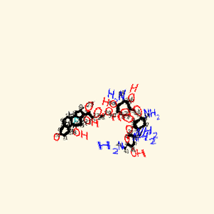 C[C@@H]1C[C@H]2[C@@H]3CCC4=CC(=O)C=C[C@]4(C)[C@@]3(F)[C@@H](O)C[C@]2(C)[C@@]1(O)C(=O)COCOC[C@H]1O[C@H](O[C@@H]2[C@@H](O)[C@H](O[C@H]3O[C@H](CN)[C@@H](O)C[C@H]3N)[C@@H](N)C[C@H]2N)[C@H](O)[C@@H](N)[C@@H]1O